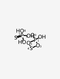 O=P1(O)OSO1.OP(O)(O)=S